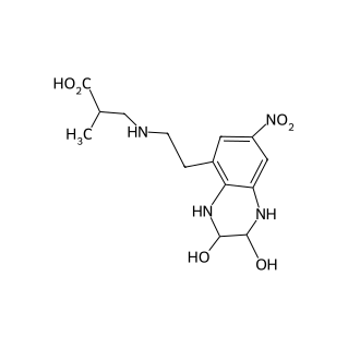 CC(CNCCc1cc([N+](=O)[O-])cc2c1NC(O)C(O)N2)C(=O)O